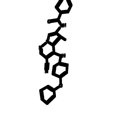 Cc1c(NC(=O)c2ccccc2)cn2ncc(C#N)c(Nc3ccc(Oc4ccccc4)cc3)c12